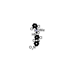 CO/C(=N\C(=O)Nc1cc(Cl)c(Oc2ccc([N+](=O)[O-])cc2)c(Cl)c1)c1c(Cl)cccc1Cl